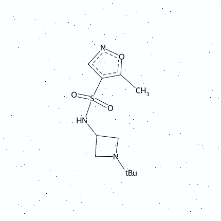 Cc1oncc1S(=O)(=O)NC1CN(C(C)(C)C)C1